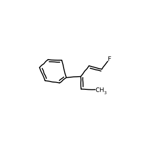 C/C=C(\C=C\F)c1ccccc1